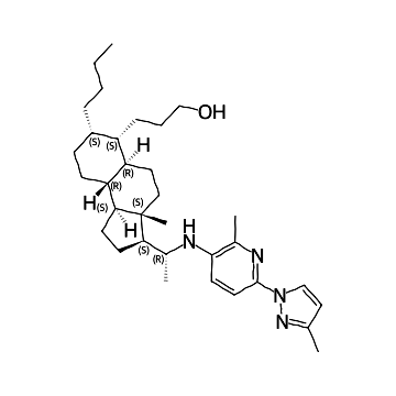 CCCC[C@H]1CC[C@@H]2[C@H](CC[C@]3(C)[C@@H]([C@@H](C)Nc4ccc(-n5ccc(C)n5)nc4C)CC[C@@H]23)[C@H]1CCCO